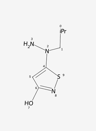 CC(C)CN(N)c1cc(O)ns1